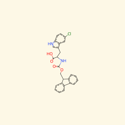 O=C(NC(Cc1c[nH]c2ccc(Cl)cc12)C(=O)O)OCC1c2ccccc2-c2ccccc21